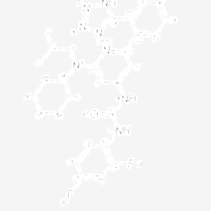 CC(C)CN(c1cc(NC(=O)Nc2ccc(F)cc2F)cc(-c2ccccc2-c2nnn[nH]2)n1)C1CCCCC1